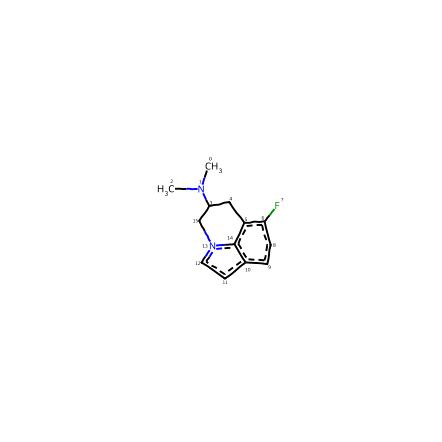 CN(C)C1Cc2c(F)ccc3ccn(c23)C1